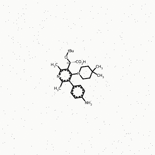 Cc1nc(C)c([C@H](OC(C)(C)C)C(=O)O)c(N2CCC(C)(C)CC2)c1-c1ccc(N)cc1